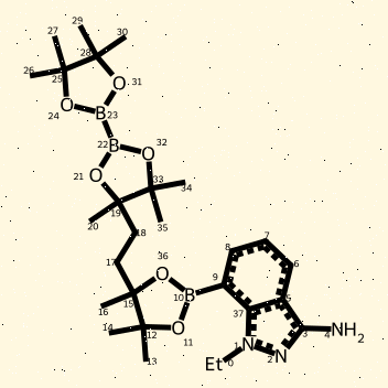 CCn1nc(N)c2cccc(B3OC(C)(C)C(C)(CCC4(C)OB(B5OC(C)(C)C(C)(C)O5)OC4(C)C)O3)c21